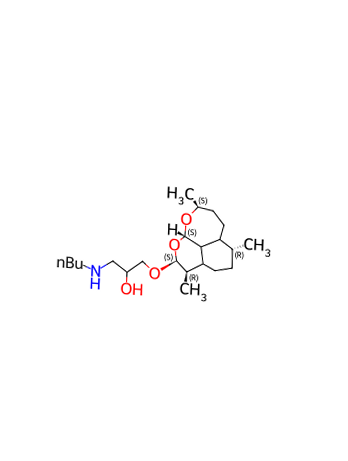 CCCCNCC(O)CO[C@H]1O[C@@H]2O[C@@H](C)CCC3C2C(CC[C@H]3C)[C@H]1C